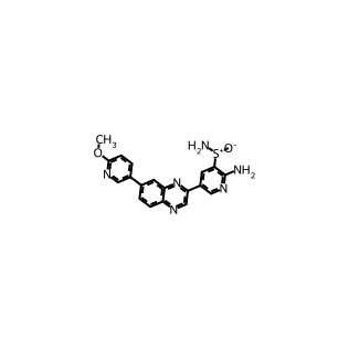 COc1ccc(-c2ccc3ncc(-c4cnc(N)c([S+](N)[O-])c4)nc3c2)cn1